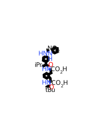 CC(C)CC(C(=O)NC(Cc1ccccc1CC(NC(=O)CC(C)(C)C)C(=O)O)C(=O)O)c1ccc(NC(=C[N+](=O)[O-])Nc2ccccc2)cc1